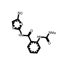 CNC(=O)Nc1ccccc1C(=O)Nc1ncc(N=O)s1